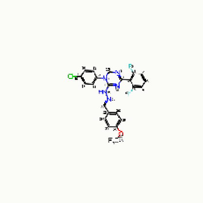 Fc1cccc(F)c1C1=NCN(c2ccc(Cl)cc2)C(NN=Cc2ccc(OC(F)(F)F)cc2)=N1